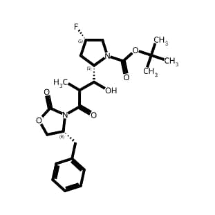 CC(C(=O)N1C(=O)OC[C@H]1Cc1ccccc1)C(O)[C@@H]1C[C@H](F)CN1C(=O)OC(C)(C)C